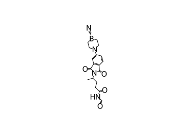 CC(CCC(=O)NC=O)N1C(=O)c2ccc(N3CCB(C#N)CC3)cc2C1=O